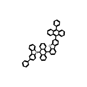 C1=CC2=C(c3cccc4c3oc3cc(-c5c6ccccc6c(-c6ccccc6)c6ccccc56)ccc34)c3ccccc3C(n3c4ccccc4c4cc(-c5ccccc5)ccc43)C2C=C1